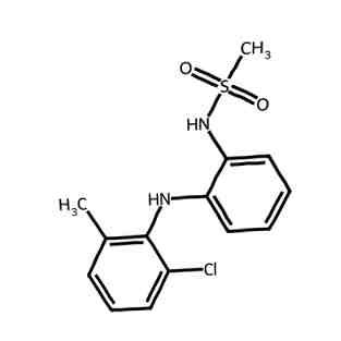 Cc1cccc(Cl)c1Nc1ccccc1NS(C)(=O)=O